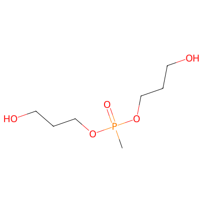 CP(=O)(OCCCO)OCCCO